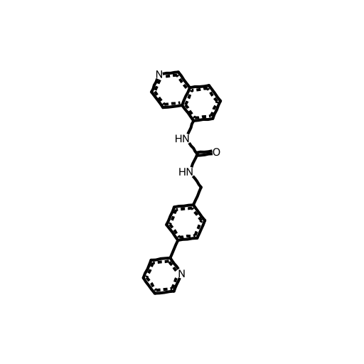 O=C(NCc1ccc(-c2ccccn2)cc1)Nc1cccc2cnccc12